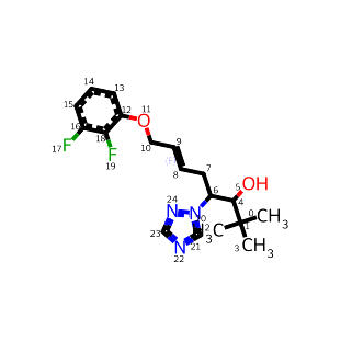 CC(C)(C)C(O)C(C/C=C/COc1cccc(F)c1F)n1cncn1